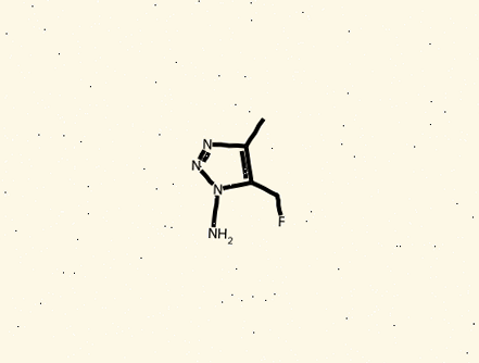 Cc1nnn(N)c1CF